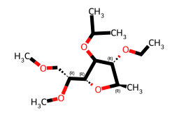 CCO[C@H]1C(OC(C)C)[C@@H]([C@@H](COC)OC)O[C@@H]1C